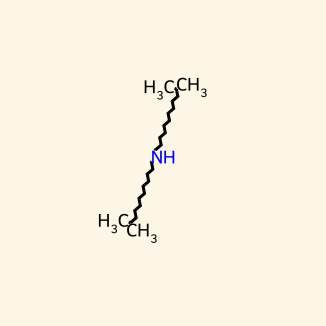 CC(C)CCCCCCCCCCNCCCCCCCCCCC(C)C